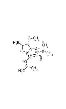 B[C@@H]1S[C@H](COC(C)C)[C@@H](OP(O)(=S)C(C)C)[C@H]1OC